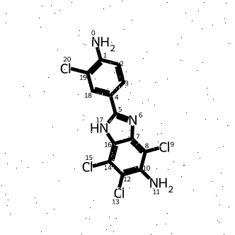 Nc1ccc(-c2nc3c(Cl)c(N)c(Cl)c(Cl)c3[nH]2)cc1Cl